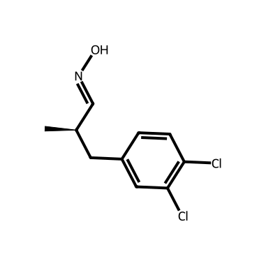 C[C@@H](C=NO)Cc1ccc(Cl)c(Cl)c1